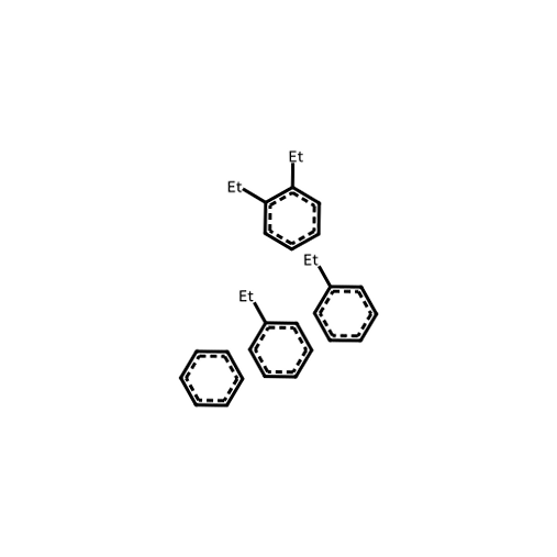 CCc1ccccc1.CCc1ccccc1.CCc1ccccc1CC.c1ccccc1